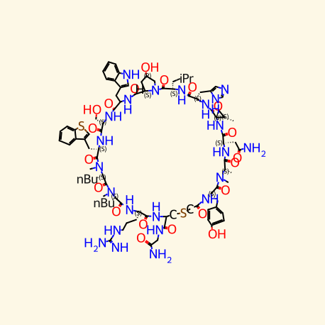 CCCC[C@H]1C(=O)N(C)[C@@H](CCCC)C(=O)N[C@@H](CCCNC(=N)N)C(=O)NC(C(=O)NCC(N)=O)CSCC(=O)N[C@@H](Cc2ccc(O)cc2)C(=O)N(C)[C@@H](C)C(=O)N[C@@H](CC(N)=O)C(=O)N[C@]2(C[C@@H]2C)C(=O)N[C@@H](Cc2cnc[nH]2)C(=O)N[C@@H](CC(C)C)C(=O)N2C[C@H](O)C[C@H]2C(=O)NC(Cc2c[nH]c3ccccc23)C(=O)N[C@@H](CO)C(=O)N[C@@H](Cc2csc3ccccc23)C(=O)N1C